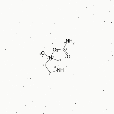 NC(=O)O[N+]1([O-])CCNC1